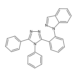 c1ccc(-c2nnc(-c3ccccc3-n3ncc4ccccc43)n2-c2ccccc2)cc1